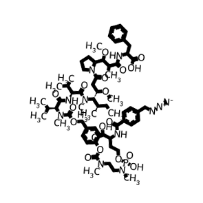 CC[C@H](C)[C@@H](C(CC(=O)N1CCCC1C(OC)C(C)C(=O)NC(Cc1ccccc1)C(=O)O)OC)N(C)C(=O)[C@@H](NC(=O)[C@H](C(C)C)N(C)C(=O)OCc1ccc(OC(=O)N(C)CCN(C)P(=O)(O)OCCC(NC(=O)c2ccc(CN=[N+]=[N-])cc2)C(=O)O)cc1)C(C)C